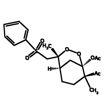 CC(=O)O[C@@]12C[C@@H](CC[C@]1(C)C(C)=O)[C@](C)(CS(=O)(=O)c1ccccc1)OO2